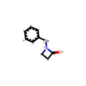 O=C1CCN1[Se]c1ccccc1